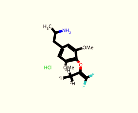 Cl.[2H]C([2H])([2H])C(Oc1c(OC)cc(CC(C)N)cc1OC)=C(F)F